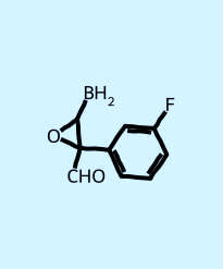 BC1OC1(C=O)c1cccc(F)c1